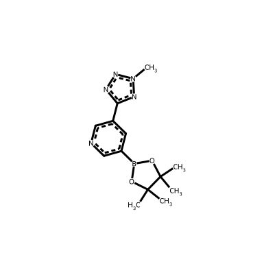 Cn1nnc(-c2cncc(B3OC(C)(C)C(C)(C)O3)c2)n1